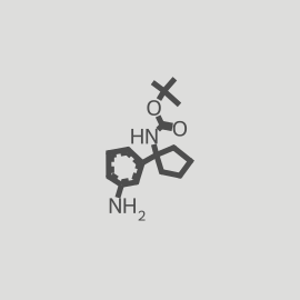 CC(C)(C)OC(=O)NC1(c2cccc(N)c2)CCCC1